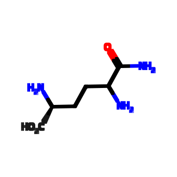 NC(=O)C(N)CC[C@H](N)C(=O)O